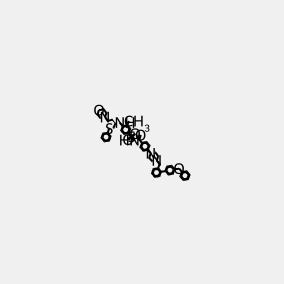 Cc1cc(S(=O)(=O)NC(=O)c2ccc(N3CCN(Cc4ccccc4-c4ccc(Oc5ccccc5)cc4)CC3)cc2)ccc1N[C@H](CCN1CCOCC1)CSc1ccccc1